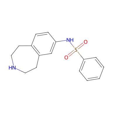 O=S(=O)(Nc1ccc2c(c1)CCNCC2)c1ccccc1